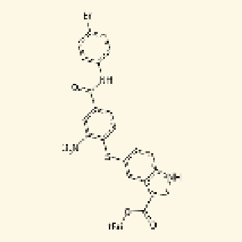 CC(C)(C)OC(=O)c1c[nH]c2ccc(Sc3ccc(C(=O)Nc4ccc(Br)cc4)cc3[N+](=O)[O-])cc12